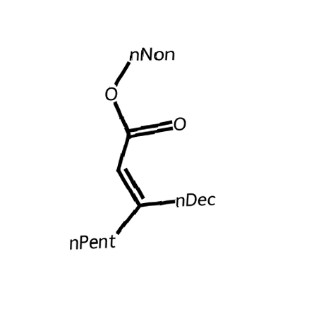 CCCCCCCCCC/C(=C\C(=O)OCCCCCCCCC)CCCCC